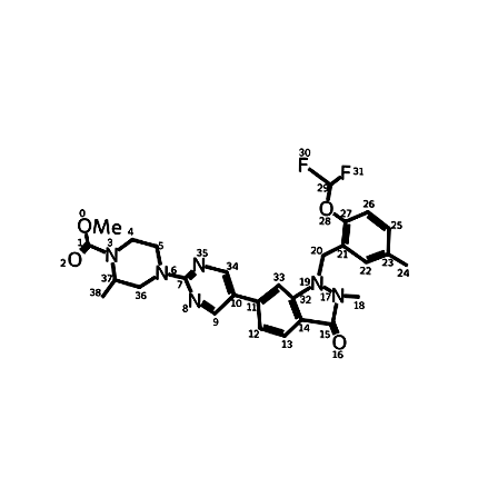 COC(=O)N1CCN(c2ncc(-c3ccc4c(=O)n(C)n(Cc5cc(C)ccc5OC(F)F)c4c3)cn2)CC1C